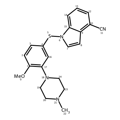 COc1ccc(Sn2ccc3c(C#N)cccc32)cc1N1CCN(C)CC1